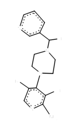 Cc1c(N)ncc(Br)c1N1CCN(C(C)c2cccnc2)CC1